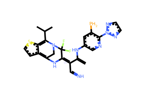 C=C(Nc1cnc(-n2nccn2)c(P)c1)/C(C=N)=C1/NC2=c3ccsc3=C(C(C)C)N(C2)C1(F)F